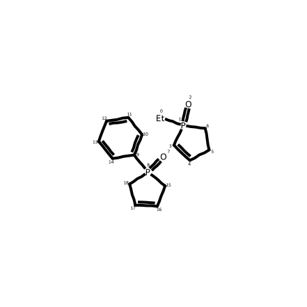 CCP1(=O)C=CCC1.O=P1(c2ccccc2)CC=CC1